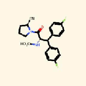 N#C[C@@H]1CCCN1C(=O)[C@@H](NC(=O)O)C(c1ccc(F)cc1)c1ccc(F)cc1